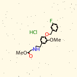 COC(=O)CNCCc1ccc(OCc2cccc(F)c2)c(OC)c1.Cl